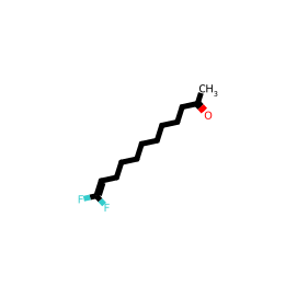 CC(=O)CCCCCCCCC=C(F)F